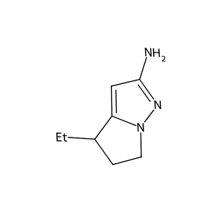 CCC1CCn2nc(N)cc21